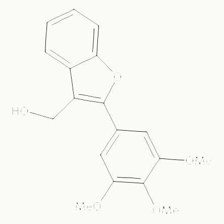 COc1cc(-c2oc3ccccc3c2CO)cc(OC)c1OC